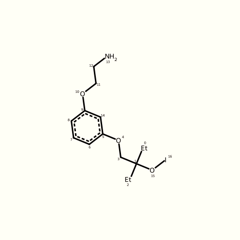 CCC(CC)(COc1cccc(OCCN)c1)OI